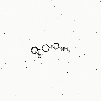 N[C@@H]1CCN([C@H]2CC[C@H](c3cccc[n+]3[O-])CC2)C1